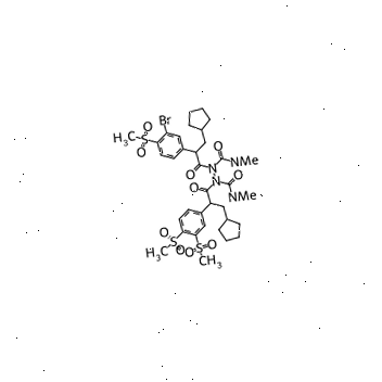 CNC(=O)N(C(=O)C(CC1CCCC1)c1ccc(S(C)(=O)=O)c(Br)c1)N(C(=O)NC)C(=O)C(CC1CCCC1)c1ccc(S(C)(=O)=O)c(S(C)(=O)=O)c1